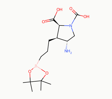 CC1(C)OB(CCC[C@H]2[C@@H](C(=O)O)N(C(=O)O)C[C@@H]2N)OC1(C)C